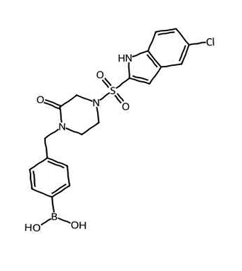 O=C1CN(S(=O)(=O)c2cc3cc(Cl)ccc3[nH]2)CCN1Cc1ccc(B(O)O)cc1